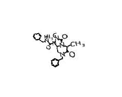 CC1C(=O)N(Cc2ccccc2)CC2N1C(=O)N(C)N2C(=O)NCc1ccccc1